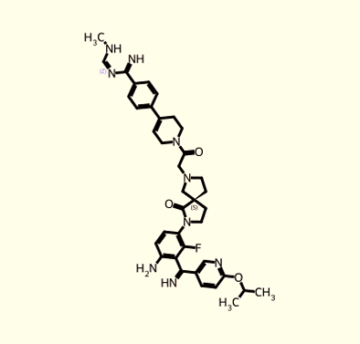 CN/C=N\C(=N)c1ccc(C2=CCN(C(=O)CN3CC[C@]4(CCN(c5ccc(N)c(C(=N)c6ccc(OC(C)C)nc6)c5F)C4=O)C3)CC2)cc1